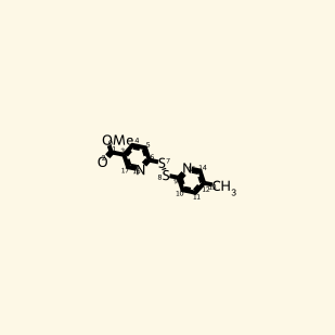 COC(=O)c1ccc(SSc2ccc(C)cn2)nc1